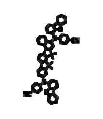 CC1(C)c2cc(N(c3ccc(C#N)cc3)c3cccc4c3oc3ccccc34)ccc2-c2ccc3c(c21)C(C)(C)c1cc(N(c2ccc(C#N)cc2)c2cccc4c2oc2ccccc24)c2ccccc2c1-3